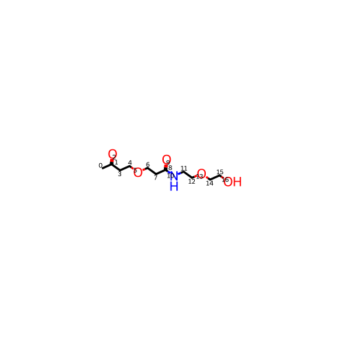 CC(=O)CCOCCC(=O)NCCOCCO